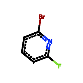 Fc1[c]ccc(Br)n1